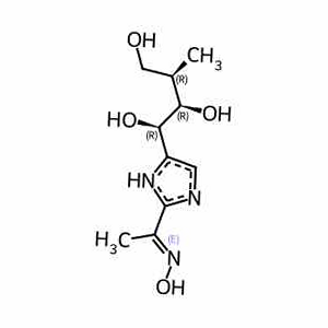 C/C(=N\O)c1ncc([C@@H](O)[C@H](O)[C@H](C)CO)[nH]1